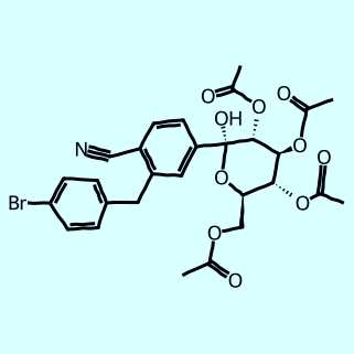 CC(=O)OC[C@H]1O[C@@](O)(c2ccc(C#N)c(Cc3ccc(Br)cc3)c2)[C@H](OC(C)=O)[C@@H](OC(C)=O)[C@@H]1OC(C)=O